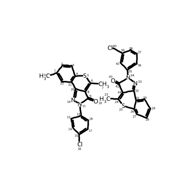 Cc1ccc2sc(C)c3c(=O)n(-c4ccc(Cl)cc4)nc-3c2c1.Cc1sc2ccccc2c2nn(-c3cccc(Cl)c3)c(=O)c1-2